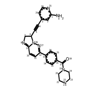 Nc1cc(C#CC2CN=C3C=CC(c4ccc(C(=O)N5CCNCC5)cc4)=NN32)ccn1